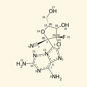 N#C[C@@]1(c2cnc3c(N)nc(N)nn23)O[C@H](CO)C(O)[C@]1(F)Cl